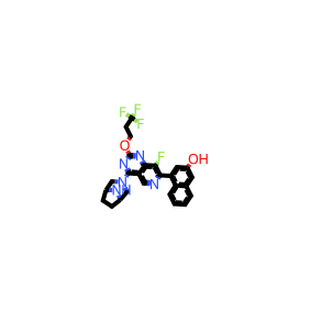 Oc1cc(-c2ncc3c(N4CC5CCC(C4)N5)nc(OCCC(F)(F)F)nc3c2F)c2ccccc2c1